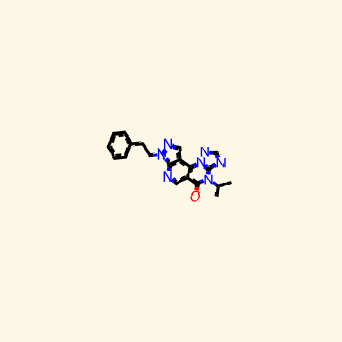 CC(C)n1c(=O)c2cnc3c(cnn3CCc3ccccc3)c2n2ncnc12